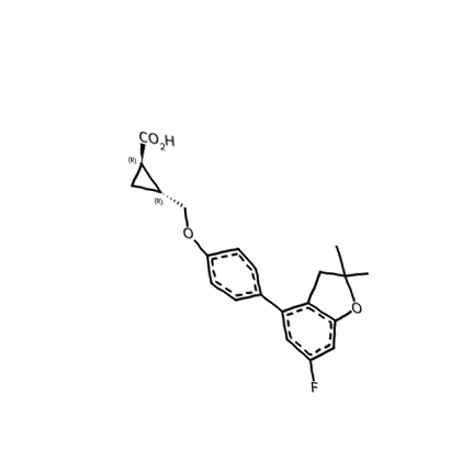 CC1(C)Cc2c(cc(F)cc2-c2ccc(OC[C@@H]3C[C@H]3C(=O)O)cc2)O1